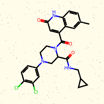 Cc1ccc2[nH]c(=O)cc(C(=O)N3CCN(c4ccc(Cl)c(Cl)c4)CC3C(=O)NCC3CC3)c2c1